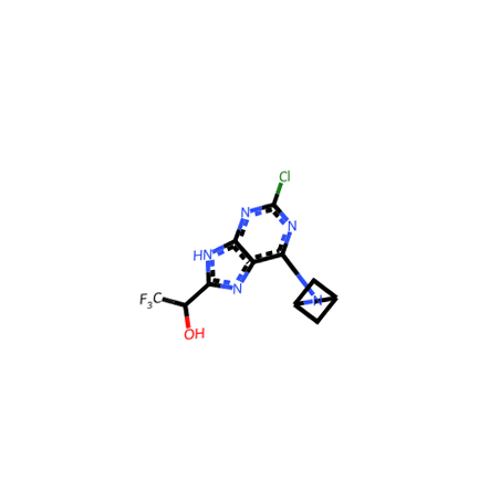 OC(c1nc2c(N3CC4CC3C4)nc(Cl)nc2[nH]1)C(F)(F)F